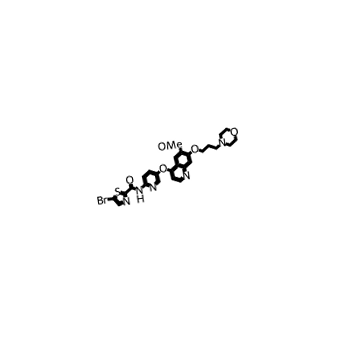 COc1cc2c(Oc3ccc(NC(=O)c4ncc(Br)s4)nc3)ccnc2cc1OCCCN1CCOCC1